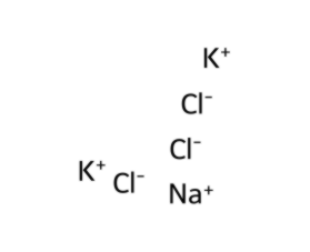 [Cl-].[Cl-].[Cl-].[K+].[K+].[Na+]